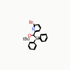 CC(C)(C)OC(c1cccc(Br)n1)[SiH](c1ccccc1)c1ccccc1